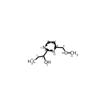 CCC(O)c1nccc(COC)n1